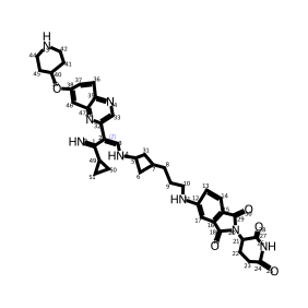 N=C(/C(=C\NC1CC(CCCNc2ccc3c(c2)C(=O)N(C2CCC(=O)NC2=O)C3=O)C1)c1cnc2ccc(OC3CCNCC3)cc2n1)C1CC1